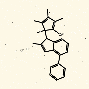 CC1=Cc2c(-c3ccccc3)cccc2C1C1(C)C(C)=C(C)C(C)=[C]1[Zr+2].[Cl-].[Cl-]